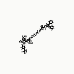 Cc1ncsc1-c1ccc(CNC(=O)[C@@H]2C[C@@H](O)CN2C(=O)[C@@H](NC(=O)CCOCCOCCOCCNC(=O)CCc2nc(-c3ccccc3)c(-c3ccccc3)o2)C(C)(C)C)cc1